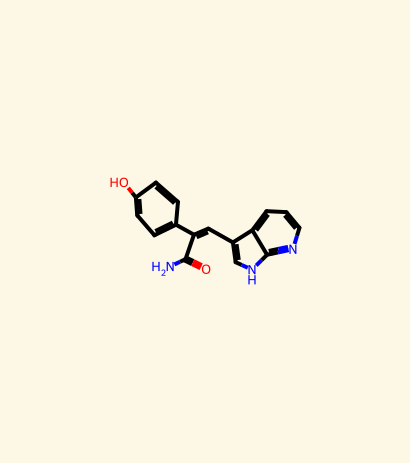 NC(=O)C(=Cc1c[nH]c2ncccc12)c1ccc(O)cc1